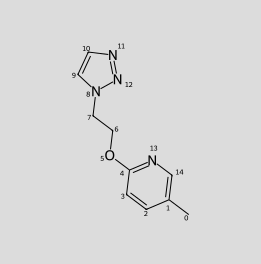 Cc1ccc(OCCn2ccnn2)nc1